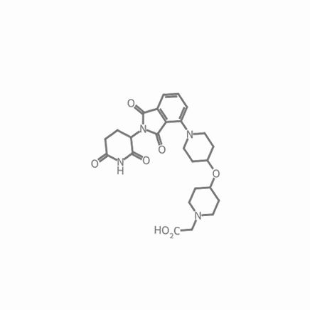 O=C(O)CN1CCC(OC2CCN(c3cccc4c3C(=O)N(C3CCC(=O)NC3=O)C4=O)CC2)CC1